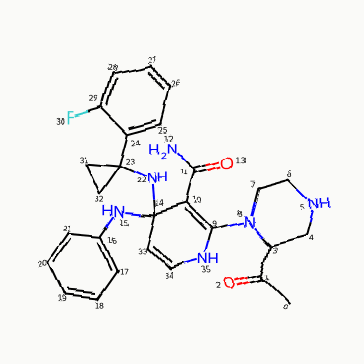 CC(=O)C1CNCCN1C1=C(C(N)=O)C(Nc2ccccc2)(NC2(c3ccccc3F)CC2)C=CN1